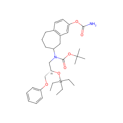 CC[Si](CC)(CC)O[C@H](COc1ccccc1)CN(C(=O)OC(C)(C)C)C1CCCc2ccc(OC(N)=O)cc2C1